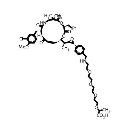 COc1ccc(C[C@H]2NC(=O)C=CC[C@@H]([C@H](C)[C@H]3O[C@@H]3c3ccc(CNCCOCCOCCOCCOC(C)C(=O)O)cc3)OC(=O)[C@H](CC(C)C)OC(=O)C(C)(C)CNC2=O)cc1Cl